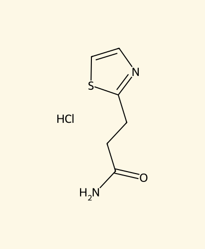 Cl.NC(=O)CCc1nccs1